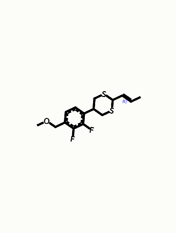 C/C=C/C1SCC(c2ccc(COC)c(F)c2F)CS1